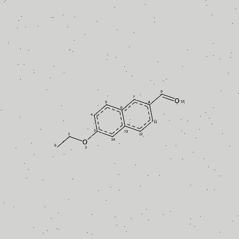 CCOc1ccc2cc(C=O)ccc2c1